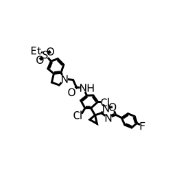 CCS(=O)(=O)c1ccc2c(c1)CCN2CC(=O)Nc1cc(Cl)c(C2(c3noc(-c4ccc(F)cc4)n3)CC2)c(Cl)c1